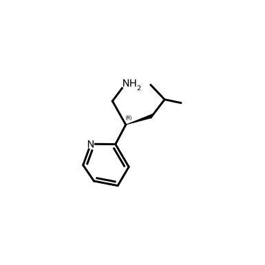 CC(C)C[C@H](CN)c1ccccn1